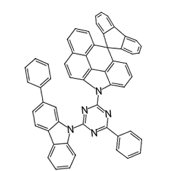 c1ccc(-c2ccc3c4ccccc4n(-c4nc(-c5ccccc5)nc(-n5c6cccc7c6c6c8c(cccc8ccc65)C75c6ccccc6-c6ccccc65)n4)c3c2)cc1